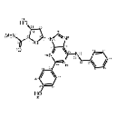 CNC(=O)[C@H]1O[C@@H](n2cnc3c(NCc4ccccc4)nc(-c4ccc(O)cc4)nc32)C[C@@H]1O